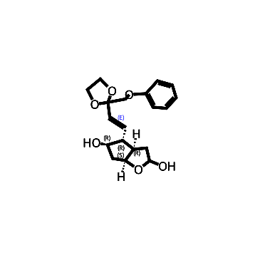 OC1C[C@@H]2[C@@H](/C=C/C3(COc4ccccc4)OCCO3)[C@H](O)C[C@@H]2O1